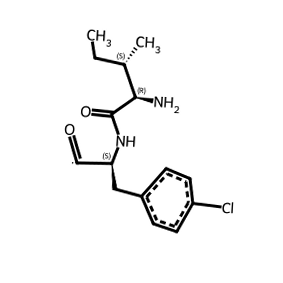 CC[C@H](C)[C@@H](N)C(=O)N[C@H]([C]=O)Cc1ccc(Cl)cc1